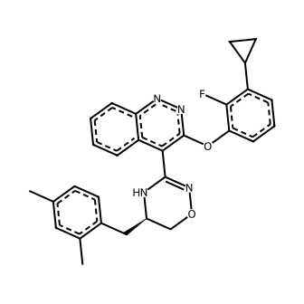 Cc1ccc(C[C@@H]2CON=C(c3c(Oc4cccc(C5CC5)c4F)nnc4ccccc34)N2)c(C)c1